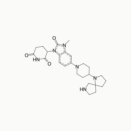 Cn1c(=O)n(C2CCC(=O)NC2=O)c2ccc(N3CCC(N4CCCC45CCNC5)CC3)cc21